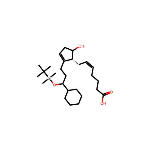 CC(C)(C)[Si](C)(C)OC(CCC1=CCC(O)[C@@H]1C/C=C\CCCC(=O)O)C1CCCCC1